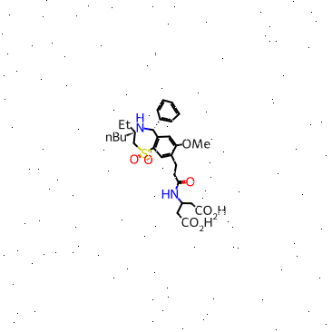 CCCC[C@]1(CC)CS(=O)(=O)c2cc(CCC(=O)NC(CC(=O)O)CC(=O)O)c(OC)cc2[C@@H](c2ccccc2)N1